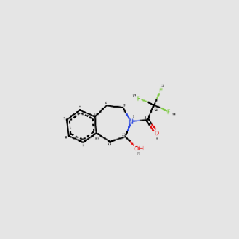 O=C(N1CCc2ccccc2CC1O)C(F)(F)F